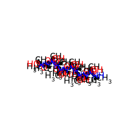 CCC(C)NCC(=O)N(CC(=O)N(CC(=O)N(CC(=O)N(CC(=O)N(CC(=O)N(CC(=O)N(CC(=O)N(CC(=O)N(CC(=O)N(CC(=O)N(C)CC(C)O)C(C)CC)CC(C)O)C(C)CC)CC(C)O)C(C)CC)CC(C)O)C(C)CC)CC(C)O)C(C)CC)CC(C)O